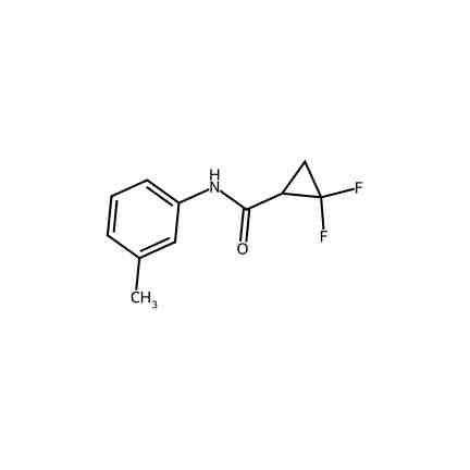 Cc1cccc(NC(=O)C2CC2(F)F)c1